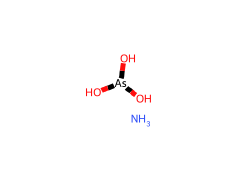 N.O[As](O)O